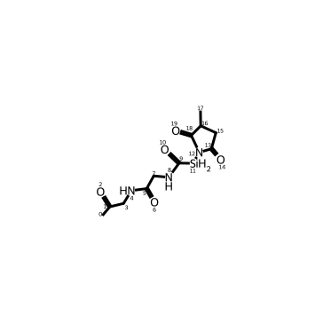 CC(=O)CNC(=O)CNC(=O)[SiH2]N1C(=O)CC(C)C1=O